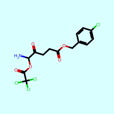 NC(OC(=O)C(Cl)(Cl)Cl)C(=O)CCC(=O)OCc1ccc(Cl)cc1